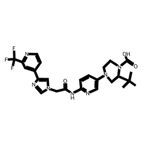 CC(C)(C)C1CN(c2ccc(NC(=O)Cn3cnc(-c4ccnc(C(F)(F)F)c4)c3)nc2)CCN1C(=O)O